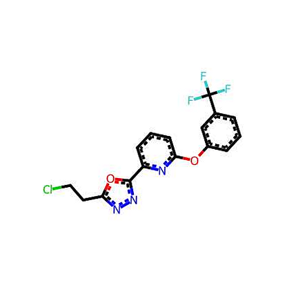 FC(F)(F)c1cccc(Oc2cccc(-c3nnc(CCCl)o3)n2)c1